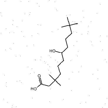 CC(C)(C)CCCC(O)CCCC(C)(C)CC(=O)O